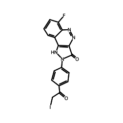 O=C(CI)c1ccc(-n2[nH]c3c(nnc4c(F)cccc43)c2=O)cc1